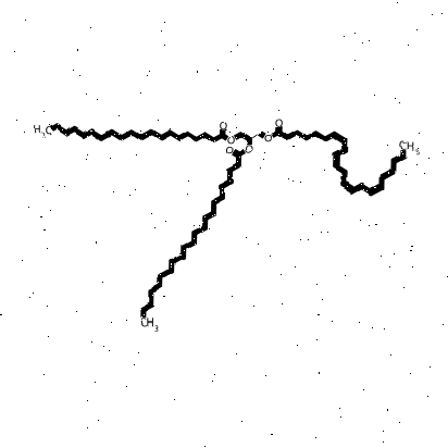 CCCCC/C=C\C/C=C\C/C=C\C/C=C\CCCCCC(=O)OC[C@@H](COC(=O)CCCCCCCCCCCCCCCCCCC)OC(=O)CCCCCCCCCCCCCCCCCCCCC